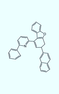 C1=C(c2cccc(-c3ccccc3)n2)c2c(oc3ccccc23)CC1c1ccc2ccccc2c1